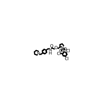 O=C(COCC1CCCN1S(=O)(=O)c1c(Cl)cc(Cl)cc1Cl)NCc1ccc(CN2CCCCC2)cc1